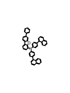 c1ccc(-c2ccc3c(c2)oc2c(N(c4ccc(-c5cccc6ccccc56)cc4)c4ccc(-c5cccc6ccccc56)cc4)cccc23)cc1